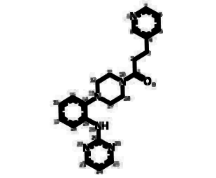 O=C(CCc1cccnc1)N1CCN(c2ccccc2Nc2n[c]ccn2)CC1